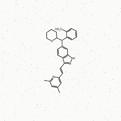 Cc1cc(C)nc(C=Cc2n[nH]c3cc(N(c4ccccc4C(=O)O)C4CCCCO4)ccc23)c1